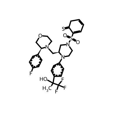 CC(O)(c1ccc(N2CCN(S(=O)(=O)C3=CC=CCC3=S)C[C@@H]2CN2CCOC[C@@H]2c2ccc(F)cc2)cc1)C(F)(F)F